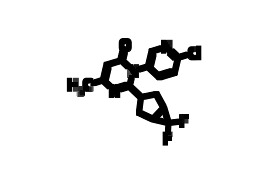 Cc1cc(=O)n(-c2ccc(Cl)nc2)c(C2CC3C(C2)C3(F)F)n1